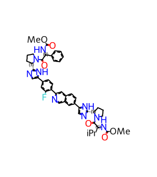 COC(=O)N[C@H](C(=O)N1CCC[C@H]1c1ncc(-c2ccc3cc(-c4ccc(-c5cnc([C@@H]6CCCN6C(=O)[C@H](NC(=O)OC)c6ccccc6)[nH]5)cc4F)ncc3c2)[nH]1)C(C)C